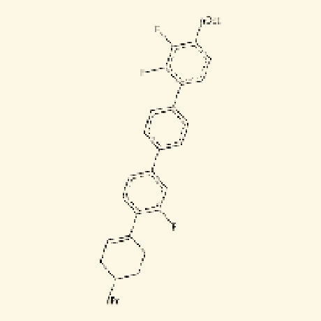 CCCCCCCCc1ccc(-c2ccc(-c3ccc(C4=CCC(CCC)CC4)c(F)c3)cc2)c(F)c1F